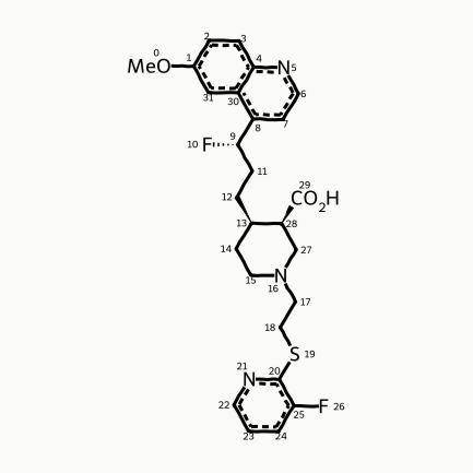 COc1ccc2nccc([C@@H](F)CC[C@@H]3CCN(CCSc4ncccc4F)C[C@@H]3C(=O)O)c2c1